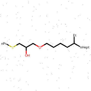 CCCCCCCC(CC)CCCCOCC(O)CSCCC